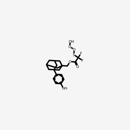 CCCc1ccc(C23CC4CC(CC(COC(=O)C(F)(F)SOOO)(C4)C2)C3)cc1